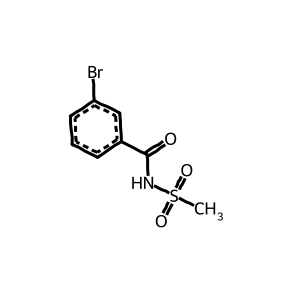 CS(=O)(=O)NC(=O)c1cccc(Br)c1